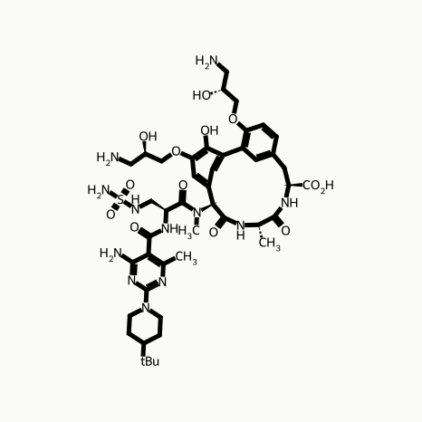 Cc1nc(N2CCC(C(C)(C)C)CC2)nc(N)c1C(=O)N[C@@H](CNS(N)(=O)=O)C(=O)N(C)[C@@H]1C(=O)N[C@@H](C)C(=O)N[C@H](C(=O)O)Cc2ccc(OC[C@H](O)CN)c(c2)-c2cc1cc(OC[C@H](O)CN)c2O